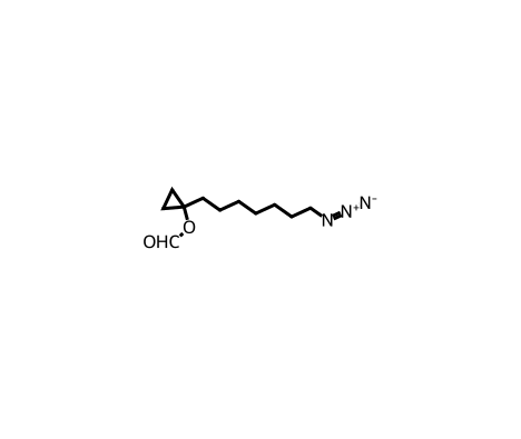 [N-]=[N+]=NCCCCCCCC1(OC=O)CC1